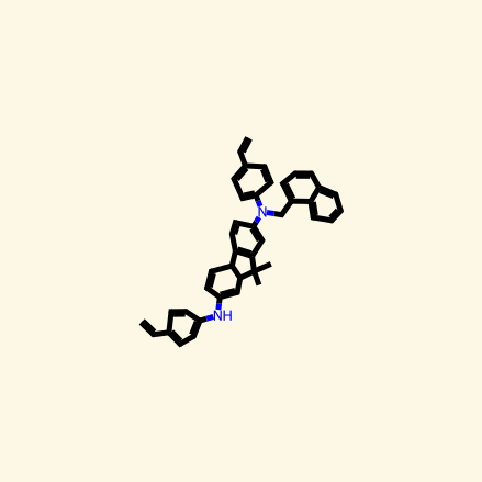 C=Cc1ccc(NC2=CC3C(C=C2)c2ccc(N(Cc4cccc5ccccc45)c4ccc(C=C)cc4)cc2C3(C)C)cc1